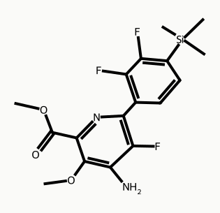 COC(=O)c1nc(-c2ccc([Si](C)(C)C)c(F)c2F)c(F)c(N)c1OC